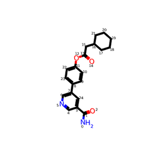 NC(=O)c1cncc(-c2ccc(OC(=O)CC3CCCCC3)cc2)c1